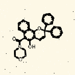 O=C(c1c(O)c2c(c3ccccc13)OC(c1ccccc1)(c1ccccc1)C=C2)N1CCOCC1